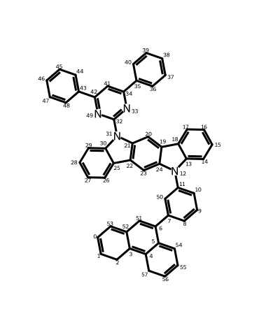 C1=CCc2c3c(c(-c4cccc(-n5c6ccccc6c6cc7c(cc65)c5ccccc5n7-c5nc(-c6ccccc6)cc(-c6ccccc6)n5)c4)cc2=C1)=CC=CC3